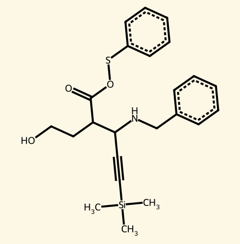 C[Si](C)(C)C#CC(NCc1ccccc1)C(CCO)C(=O)OSc1ccccc1